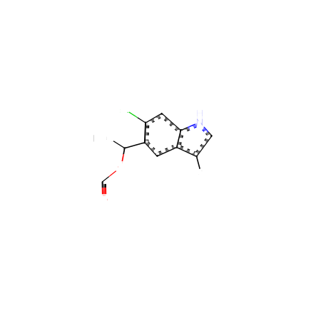 Cc1c[nH]c2cc(Cl)c(C(C)OC=O)cc12